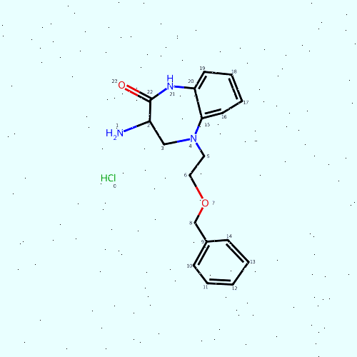 Cl.NC1CN(CCOCc2ccccc2)c2ccccc2NC1=O